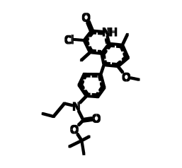 CCCN(C(=O)OC(C)(C)C)c1ccc(-c2c(OC)cc(C)c3[nH]c(=O)c(Cl)c(C)c23)cc1